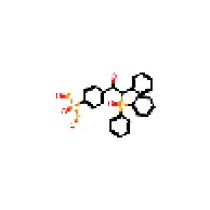 O=PP(=O)(P=O)c1ccc(C(=O)C(c2ccccc2)P(=O)(c2ccccc2)c2ccccc2)cc1